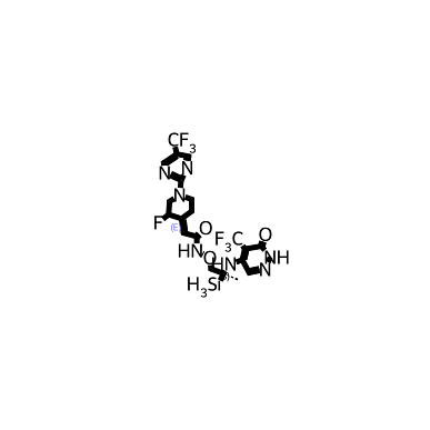 C[C@]([SiH3])(CONC(=O)/C=C1\CCN(c2ncc(C(F)(F)F)cn2)CC1F)Nc1cn[nH]c(=O)c1C(F)(F)F